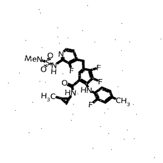 CNS(=O)(=O)Nc1nccc(Cc2cc(C(=O)NC3CC3C)c(Nc3ccc(C)cc3F)c(F)c2F)c1F